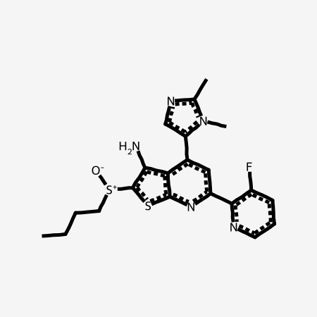 CCCC[S+]([O-])c1sc2nc(-c3ncccc3F)cc(-c3cnc(C)n3C)c2c1N